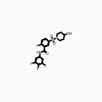 O=C(Nc1cc(F)c(F)c(F)c1)c1cc(S(=O)(=O)N2CCC(O)CC2)ccc1F